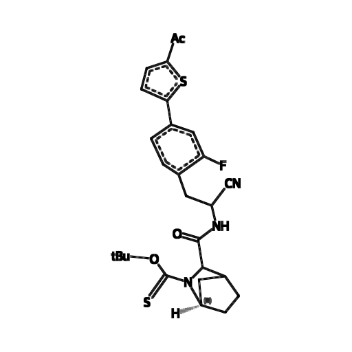 CC(=O)c1ccc(-c2ccc(CC(C#N)NC(=O)C3C4CC[C@H](C4)N3C(=S)OC(C)(C)C)c(F)c2)s1